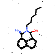 CCCCCCN1C(=N)c2cccc3cccc(c23)C1O